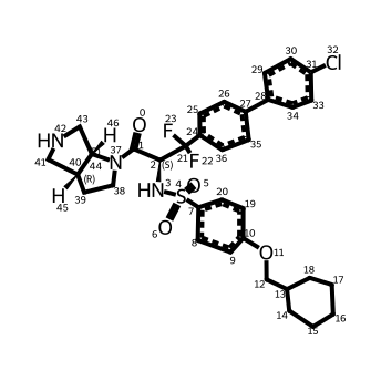 O=C([C@H](NS(=O)(=O)c1ccc(OCC2CCCCC2)cc1)C(F)(F)c1ccc(-c2ccc(Cl)cc2)cc1)N1CC[C@@H]2CNC[C@@H]21